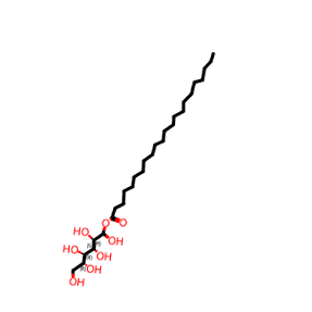 CCCCCCCCCCCCCCCCCCCCCC(=O)OC(O)[C@H](O)[C@@H](O)[C@H](O)[C@H](O)CO